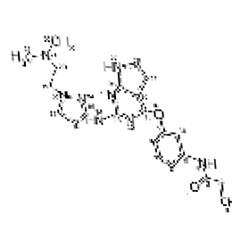 C=CC(=O)Nc1cccc(Oc2nc(Nc3ccn(CCN(C)C)n3)nc3[nH]ccc23)c1